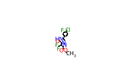 CCOC(=O)c1nn2cc(-c3ccc(Cl)c(F)c3)[nH]c(=O)c2c1C(F)F